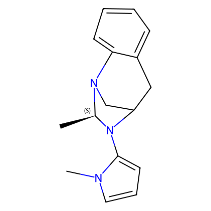 C[C@H]1N2CC(Cc3ccccc32)N1c1cccn1C